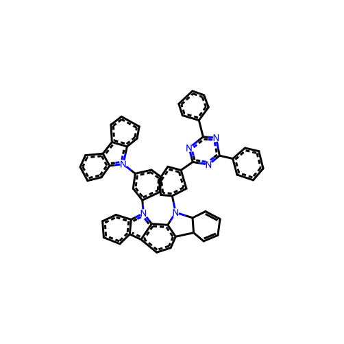 C1=CC2c3ccc4c5ccccc5n(-c5cccc(-n6c7ccccc7c7ccccc76)c5)c4c3N(c3cccc(-c4nc(-c5ccccc5)nc(-c5ccccc5)n4)c3)C2C=C1